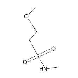 CNS(=O)(=O)CCOC